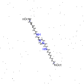 CCCCCCCC/C=C/CCCCCCCCNCCCN1CCN(CCCNCCCCCCCC/C=C/CCCCCCCC)CC1